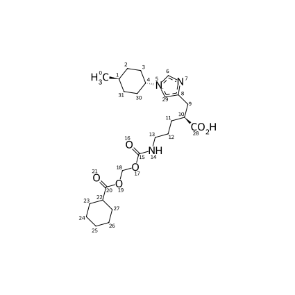 C[C@H]1CC[C@H](n2cnc(C[C@H](CCCNC(=O)OCOC(=O)C3CCCCC3)C(=O)O)c2)CC1